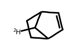 [2H]C1C2C=CC1CC2